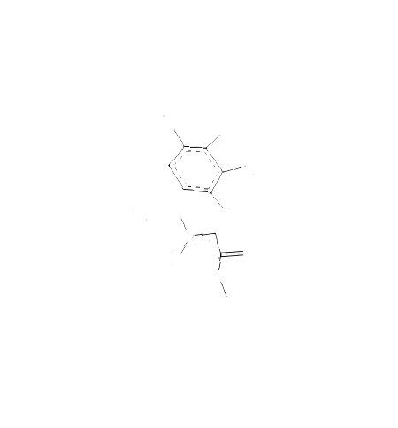 COC(=O)[C@@H](Cc1ccc(C)c(C)c1C)N(C)C.Cl